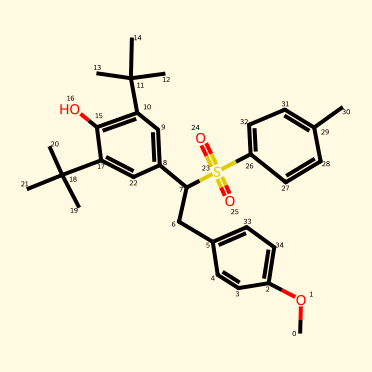 COc1ccc(CC(c2cc(C(C)(C)C)c(O)c(C(C)(C)C)c2)S(=O)(=O)c2ccc(C)cc2)cc1